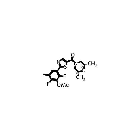 COc1c(F)c(F)cc(-c2ncc(C(=O)N3C[C@@H](C)O[C@@H](C)C3)s2)c1F